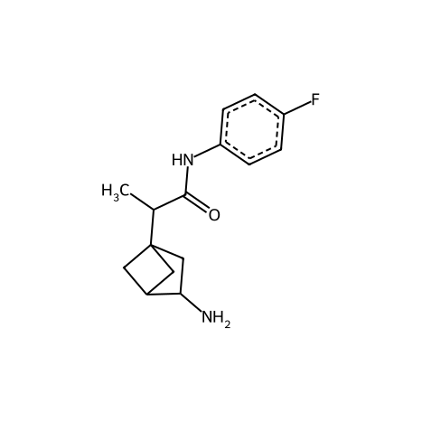 CC(C(=O)Nc1ccc(F)cc1)C12CC(N)C(C1)C2